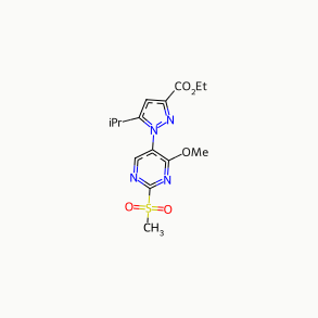 CCOC(=O)c1cc(C(C)C)n(-c2cnc(S(C)(=O)=O)nc2OC)n1